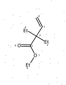 C=CC(CC)(CC)C(=O)OCC